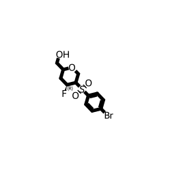 O=S(=O)(c1ccc(Br)cc1)C1COC(CO)C[C@H]1F